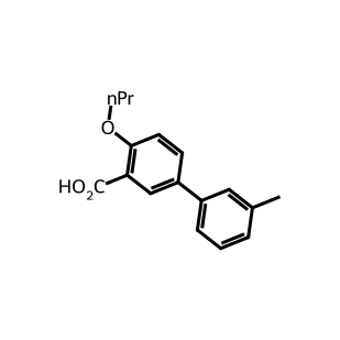 CCCOc1ccc(-c2cccc(C)c2)cc1C(=O)O